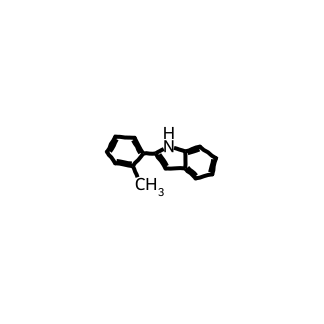 Cc1ccccc1-c1cc2ccccc2[nH]1